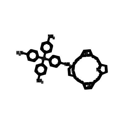 C1=Cc2cc3ccc(cc4nc(cc5ccc(cc1n2)[nH]5)C=C4)[nH]3.Nc1cc[c]([Pd]([c]2ccc(N)cc2)([c]2ccc(N)cc2)[c]2ccc(N)cc2)cc1